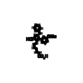 COc1cccc([C@@H]2[C@@H](C/C=C\CCCC(=O)O)CCN2Cc2ccccc2)c1.Cl